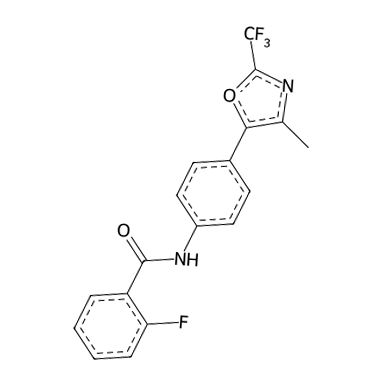 Cc1nc(C(F)(F)F)oc1-c1ccc(NC(=O)c2ccccc2F)cc1